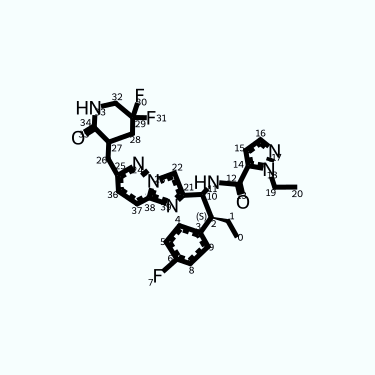 CC[C@@H](c1ccc(F)cc1)C(NC(=O)c1ccnn1CC)c1cn2nc(CC3CC(F)(F)CNC3=O)ccc2n1